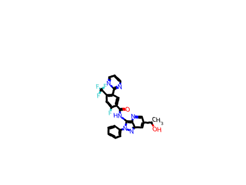 C[C@@H](O)c1cnc2c(NC(=O)c3cc(-c4ncccn4)c(C(F)(F)F)cc3F)n(-c3ccccc3)nc2c1